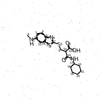 CNc1ccc2nc(SCC(C(=O)O)C(=O)NC3CCCCC3)sc2c1